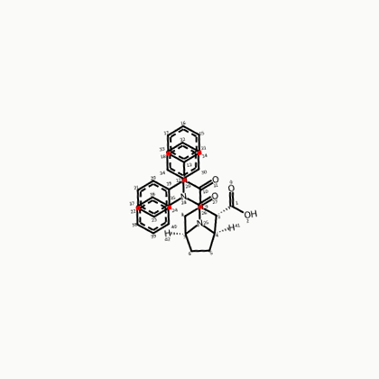 O=C(O)[C@@H]1[C@H]2CC[C@@H](CN1C(=O)N(c1ccccc1)c1ccccc1)N2C(=O)N(c1ccccc1)c1ccccc1